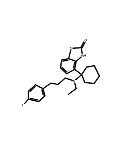 CCN(CCCc1ccc(F)cc1)C1(c2cccc3oc(=O)[nH]c23)CCCCC1